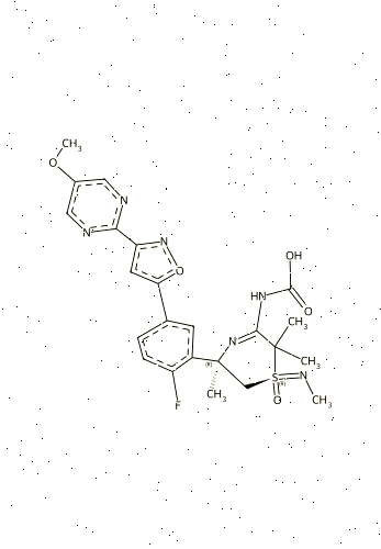 CN=[S@@]1(=O)C[C@@](C)(c2cc(-c3cc(-c4ncc(OC)cn4)no3)ccc2F)N=C(NC(=O)O)C1(C)C